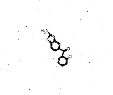 Nc1nc2ccc(C(=O)c3ccccc3Cl)cc2s1